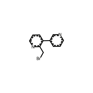 BrCc1ncccc1-c1cccnc1